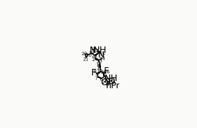 CCCS(=O)(=O)Nc1ccc(F)c(C#Cc2cnc3[nH]nc(C4CC4)c3c2)c1F